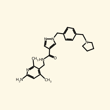 Cc1cc(N)nc(C)c1CNC(=O)c1cnn(Cc2ccc(CN3CCCC3)cc2)c1